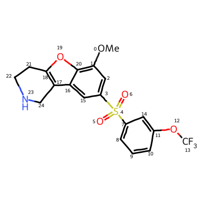 COc1cc(S(=O)(=O)c2cccc(OC(F)(F)F)c2)cc2c3c(oc12)CCNC3